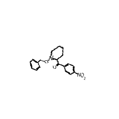 O=C(c1ccc([N+](=O)[O-])cc1)C1CCCCN1OCc1ccccc1